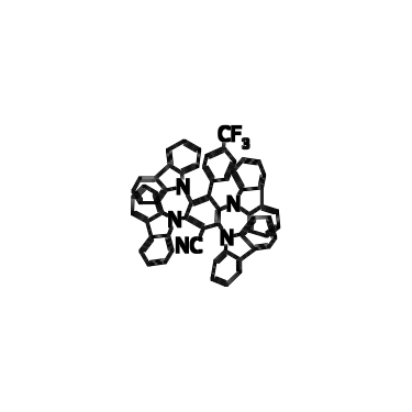 N#Cc1c(-n2c3ccccc3c3ccccc32)c(-n2c3ccccc3c3ccccc32)c(-c2ccc(C(F)(F)F)cc2)c(-n2c3ccccc3c3ccccc32)c1-n1c2ccccc2c2ccccc21